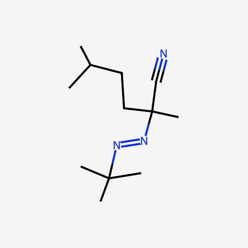 CC(C)CCC(C)(C#N)/N=N/C(C)(C)C